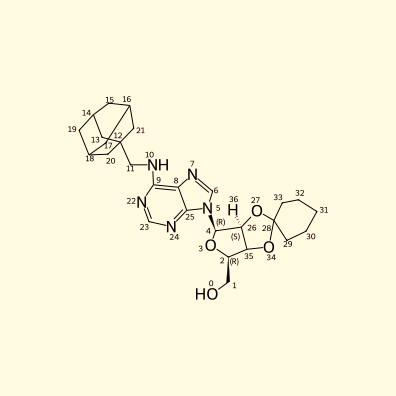 OC[C@H]1O[C@@H](n2cnc3c(NCC45CC6CC(CC(C6)C4)C5)ncnc32)[C@H]2OC3(CCCCC3)OC12